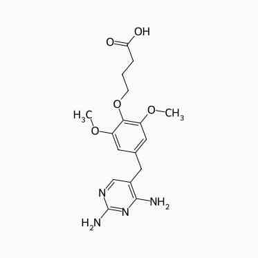 COc1cc(Cc2cnc(N)nc2N)cc(OC)c1OCCCC(=O)O